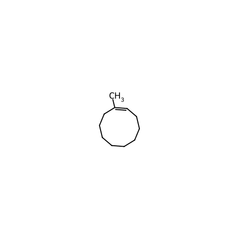 CC1=CCCCCCCCC1